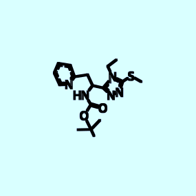 CCn1c(SC)nnc1C(Cc1ccccn1)NC(=O)OC(C)(C)C